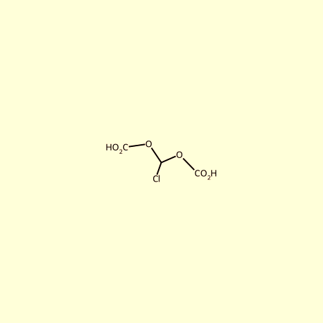 O=C(O)OC(Cl)OC(=O)O